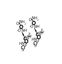 COc1cc(C(N)=O)ccc1NCC#Cc1cc2c(N[C@@H]3CCN(C)C[C@H]3F)cccc2n1CC(F)(F)F.COc1cc(C(N)=O)ccc1NCC#Cc1cc2c(N[C@@H]3CCN(C)C[C@H]3F)cccc2n1CC(F)(F)F